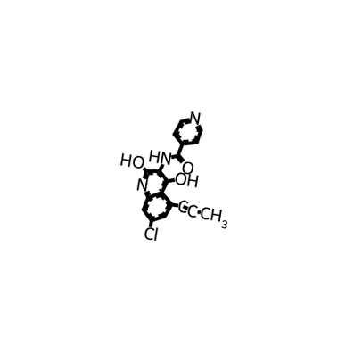 CCCc1cc(Cl)cc2nc(O)c(NC(=O)c3ccncc3)c(O)c12